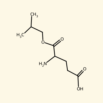 CC(C)COC(=O)C(N)CCC(=O)O